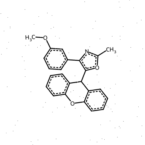 COc1cccc(-c2nc(C)oc2C2c3ccccc3Oc3ccccc32)c1